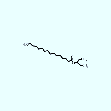 CCCCCCCCCCCCCCCC(=O)OC(CC)CC